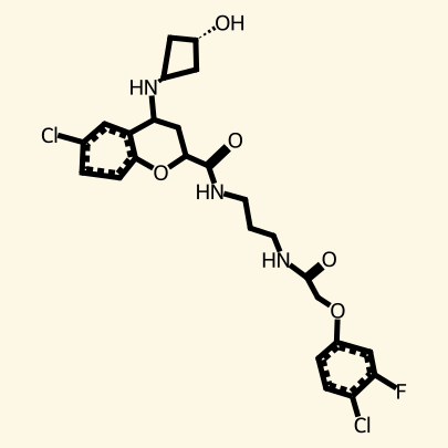 O=C(COc1ccc(Cl)c(F)c1)NCCCNC(=O)C1CC(N[C@H]2C[C@@H](O)C2)c2cc(Cl)ccc2O1